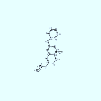 Cl.ONCC1=Cc2cc(Oc3ccccc3)ccc2OC1